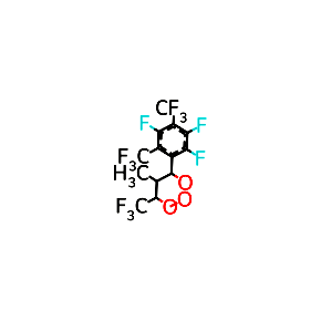 CC1C(c2c(F)c(F)c(C(F)(F)F)c(F)c2C(F)(F)F)OOOC1C(F)(F)F